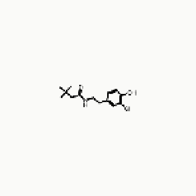 CC(C)(C)CC(=O)NCCc1ccc(O)c(O)c1